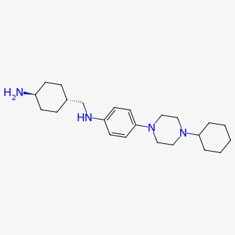 N[C@H]1CC[C@H](CNc2ccc(N3CCN(C4CCCCC4)CC3)cc2)CC1